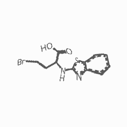 O=C(O)C(CCBr)Nc1nc2ccccc2s1